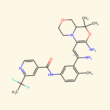 Cc1ccc(NC(=O)c2ccnc(C(C)(F)F)c2)cc1/C(N)=C/C1=C(N)OC(C)(C)C2COCCN12